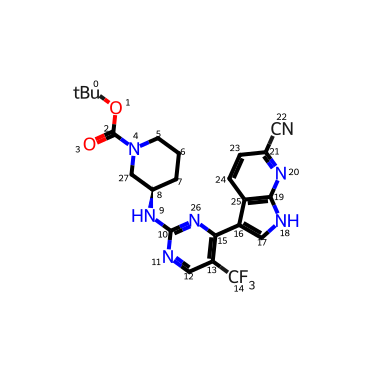 CC(C)(C)OC(=O)N1CCC[C@@H](Nc2ncc(C(F)(F)F)c(-c3c[nH]c4nc(C#N)ccc34)n2)C1